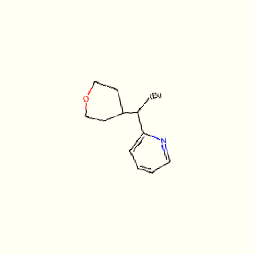 CC(C)(C)C(c1ccccn1)C1CCOCC1